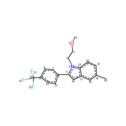 COCCn1c(-c2ccc(C(F)(F)F)cc2)cc2cc(C)ccc21